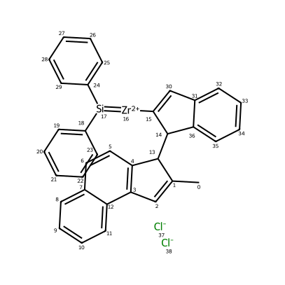 CC1=Cc2c(ccc3ccccc23)C1C1[C]([Zr+2]=[Si](c2ccccc2)c2ccccc2)=Cc2ccccc21.[Cl-].[Cl-]